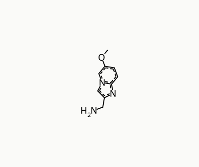 COc1ccc2nc(CN)cn2c1